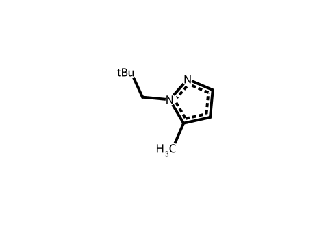 Cc1ccnn1CC(C)(C)C